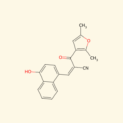 Cc1cc(C(=O)C(C#N)=Cc2ccc(O)c3ccccc23)c(C)o1